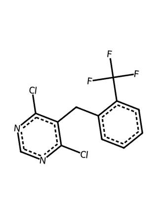 FC(F)(F)c1ccccc1Cc1c(Cl)ncnc1Cl